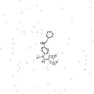 CCC(=C(C(=O)O)C(=O)O)N(CC)c1ccc(NCc2ccccc2)nc1